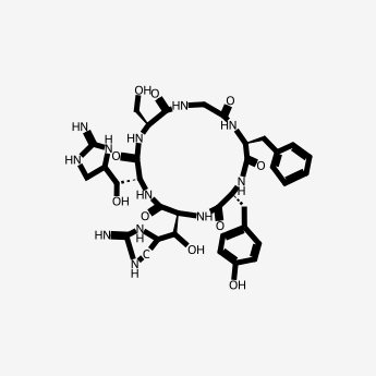 N=C1NCC(C(O)[C@@H]2NC(=O)[C@@H](Cc3ccc(O)cc3)NC(=O)[C@H](Cc3ccccc3)NC(=O)CNC(=O)[C@H](CO)NC(=O)[C@@H](C(O)C3CNC(=N)N3)NC2=O)N1